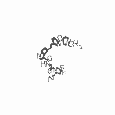 CN1CCC(Oc2ccc(/C=C/c3ccc4nccc(C(=O)NCC(=O)N5CC(F)(F)C[C@H]5C#N)c4c3)cn2)CC1